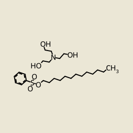 CCCCCCCCCCCCCOS(=O)(=O)c1ccccc1.OCCN(CCO)CCO